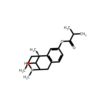 CNC1C2Cc3ccc(OC(=O)C(C)C)cc3[C@@]1(C)CCN2C